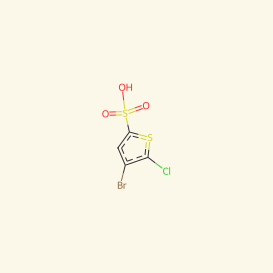 O=S(=O)(O)c1cc(Br)c(Cl)s1